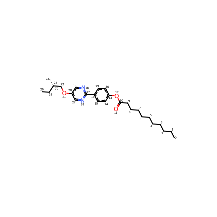 CCCCCCCCCCC(=O)Oc1ccc(-c2ncc(OC[C@@H](C)CC)cn2)cc1